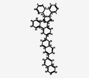 C1=CC2c3ccccc3-c3nc4c5ccc(-c6ccc7cc(-c8ccc9ccccc9c8)ccc7c6)cc5c5ccccc5n4c3C2C=C1